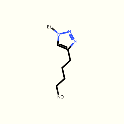 CCn1cc(CCCCN=O)nn1